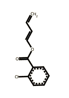 C=CC=COC(=O)c1ccccc1Cl